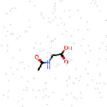 CC(=O)N[CH]C(=O)O